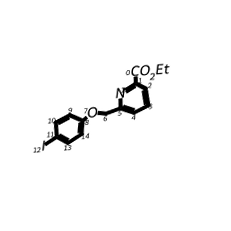 CCOC(=O)c1cccc(COc2ccc(I)cc2)n1